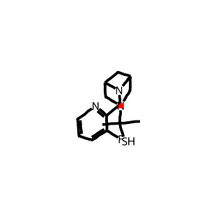 CC(C)(S)N1CC2CC(C1)N2Cc1ncccc1F